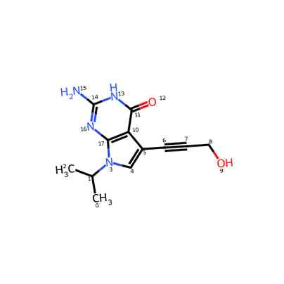 CC(C)n1cc(C#CCO)c2c(=O)[nH]c(N)nc21